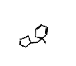 CC1(CC2CCSC2)C=CC=CC1